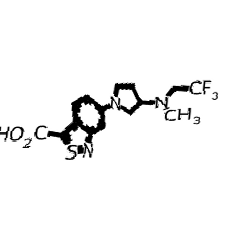 CN(CC(F)(F)F)C1CCN(c2ccc3c(C(=O)O)snc3c2)C1